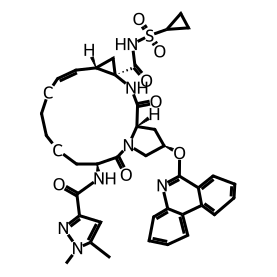 Cc1cc(C(=O)N[C@H]2CCCCCC=C[C@@H]3C[C@@]3(C(=O)NS(=O)(=O)C3CC3)NC(=O)[C@@H]3C[C@@H](Oc4nc5ccccc5c5ccccc45)CN3C2=O)nn1C